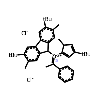 C/[C](c1ccccc1)=[Zr+2](/[C]1=CC(C(C)(C)C)=CC1C)[CH]1c2cc(C)c(C(C)(C)C)cc2-c2cc(C(C)(C)C)c(C)cc21.[Cl-].[Cl-]